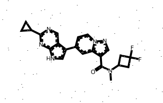 CN(C(=O)c1cnn2ccc(-c3c[nH]c4nc(C5CC5)ncc34)cc12)C1CC(F)(F)C1